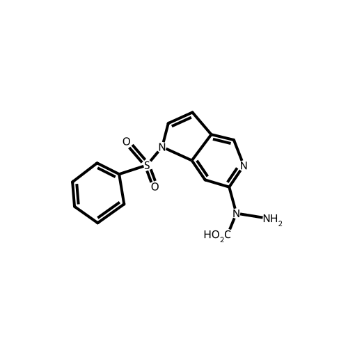 NN(C(=O)O)c1cc2c(ccn2S(=O)(=O)c2ccccc2)cn1